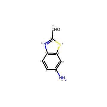 Nc1ccc2nc(C=O)sc2c1